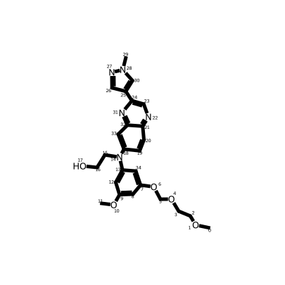 COCCOCOc1cc(OC)cc(N(CCO)c2ccc3ncc(-c4cnn(C)c4)nc3c2)c1